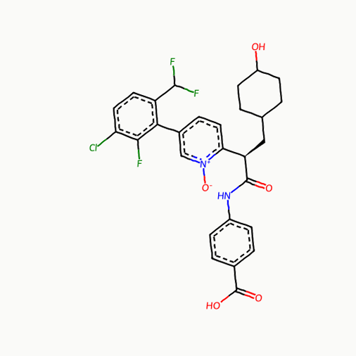 O=C(O)c1ccc(NC(=O)[C@H](CC2CCC(O)CC2)c2ccc(-c3c(C(F)F)ccc(Cl)c3F)c[n+]2[O-])cc1